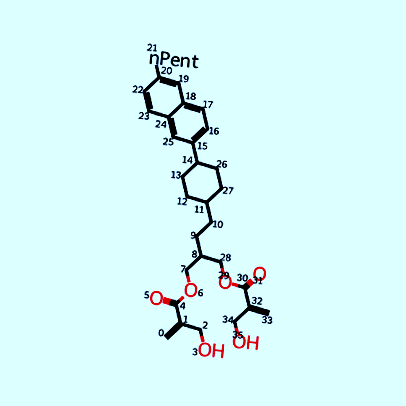 C=C(CO)C(=O)OCC(CCC1CCC(c2ccc3cc(CCCCC)ccc3c2)CC1)COC(=O)C(=C)CO